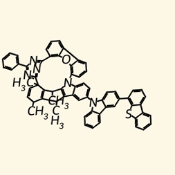 CC1C=CC2(C)C3=C1C(C)c1c(n(c4ccc(-n5c6ccccc6c6cc(-c7cccc8c7sc7ccccc78)ccc65)cc14)-c1cccc4c1oc1c(cccc14)-c1nc(-c4ccccc4)nc2n1)C3C